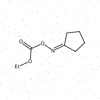 CCOC(=O)ON=C1CCCC1